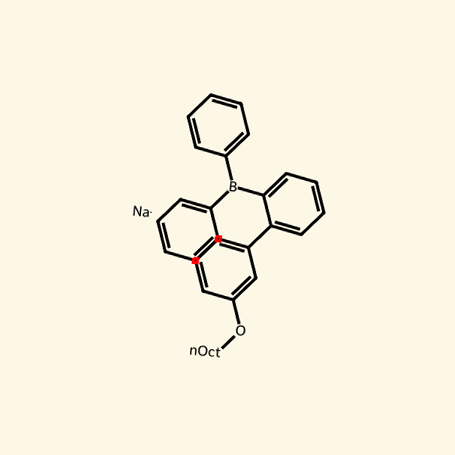 CCCCCCCCOc1cccc(-c2ccccc2B(c2ccccc2)c2ccccc2)c1.[Na]